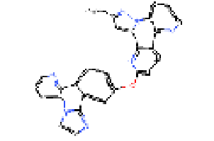 Cc1cc2c3nc(Oc4ccc5c(c4)c4nccn4c4cccnc54)ccc3c3ncccc3n2n1